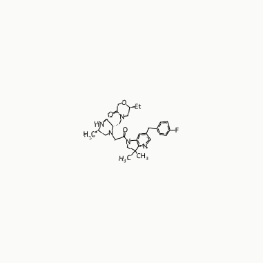 CC[C@H]1CN(C[C@H]2CN[C@H](C)CN2CC(=O)N2CC(C)(C)c3ncc(Cc4ccc(F)cc4)cc32)C(=O)CO1